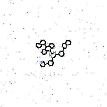 c1cncc(-c2cccc(-c3cc(-c4cccc(-c5ccc6ccccc6c5)c4)nc(-c4c5ccccc5c(-c5cccc6ccccc56)c5ccccc45)n3)c2)c1